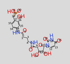 O=C(CCCNC(=O)[C@H]1O[C@@H](n2ccc(=O)[nH]c2=O)[C@@H](O)[C@H]1O)Nc1ccc(CP(=O)(O)O)cc1